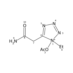 CC[N+]1(OC(C)=O)N=NN=C1CC(N)=O